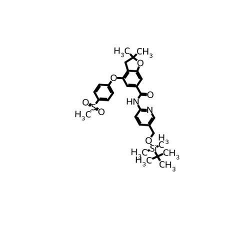 CC1(C)Cc2c(Oc3ccc(S(C)(=O)=O)cc3)cc(C(=O)Nc3ccc(CO[Si](C)(C)C(C)(C)C)cn3)cc2O1